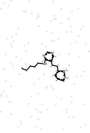 CCCCCNc1ncncc1CCc1cccnn1